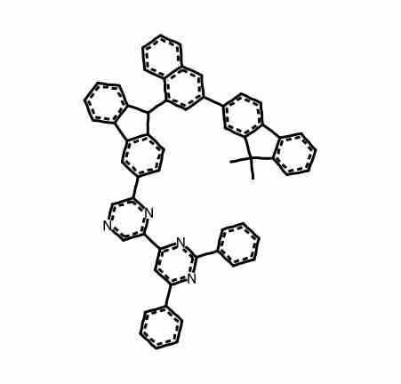 CC1(C)c2ccccc2-c2ccc(-c3cc(C4c5ccccc5-c5cc(-c6cncc(-c7cc(-c8ccccc8)nc(-c8ccccc8)n7)n6)ccc54)c4ccccc4c3)cc21